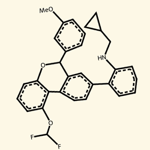 COc1cccc(C2Oc3cccc(OC(F)F)c3-c3ccc(-c4ccccc4NCC4CC4)cc32)c1